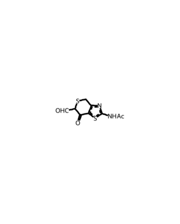 CC(=O)Nc1nc2c(s1)C(=O)C(C=O)SC2